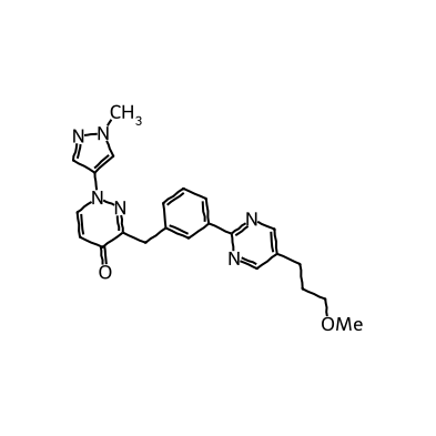 COCCCc1cnc(-c2cccc(Cc3nn(-c4cnn(C)c4)ccc3=O)c2)nc1